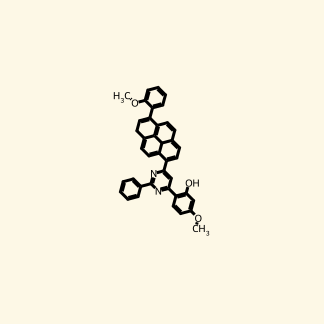 COc1ccc(-c2cc(C3=CC=C4C=CC5=C6C(=CC=C3C46)CC=C5c3ccccc3OC)nc(-c3ccccc3)n2)c(O)c1